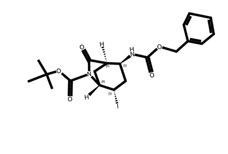 CC(C)(C)OC(=O)N1C(=O)[C@@H]2C[C@@H]1[C@@H](I)C[C@@H]2NC(=O)OCc1ccccc1